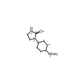 CC(=O)NC1CCC(N2CCNC2=O)CC1